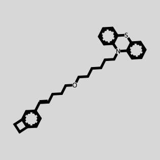 C(=C\c1ccc2c(c1)CC2)/CCCOCCCCCCN1c2ccccc2Sc2ccccc21